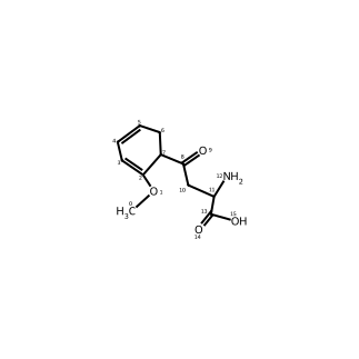 COC1=CC=CCC1C(=O)CC(N)C(=O)O